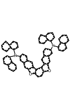 c1ccc2c(N(c3ccc4cc5c(cc4c3)oc3ccc4oc6cc7cc(N(c8cccc9ccccc89)c8cccc9ccccc89)ccc7cc6c4c35)c3cccc4ccccc34)cccc2c1